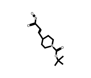 CC(C)(C)OC(=O)N1CCC(/C=C/C(=O)N=O)CC1